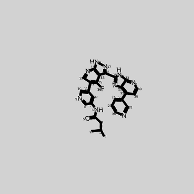 CC(C)CC(=O)Nc1cncc(-c2cnc3[nH]nc(-c4nc5c(-c6cccnc6)ccnc5[nH]4)c3c2F)c1